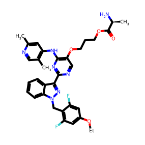 CCOc1cc(F)c(Cn2nc(-c3ncc(OCCCOC(=O)[C@H](C)N)c(Nc4cc(C)ncc4C)n3)c3ccccc32)c(F)c1